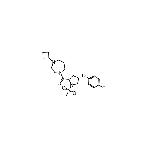 CS(=O)(=O)N1C[C@@H](Oc2ccc(F)cc2)C[C@@H]1C(=O)N1CCCN(C2CCC2)CC1